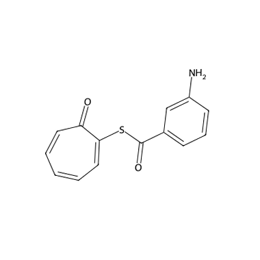 Nc1cccc(C(=O)Sc2cccccc2=O)c1